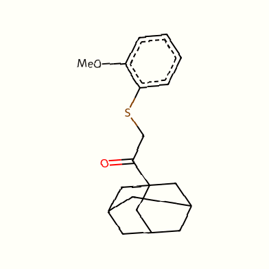 COc1ccccc1SCC(=O)C12CC3CC(CC(C3)C1)C2